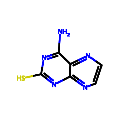 Nc1nc(S)nc2nccnc12